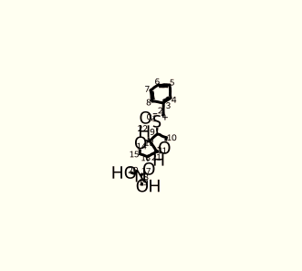 [O-][S+](Cc1ccccc1)[C@H]1CO[C@H]2[C@@H]1OC[C@H]2ON(O)O